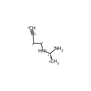 C#CCCN[C@H](C)N